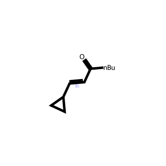 CCCCC(=O)/C=C/C1CC1